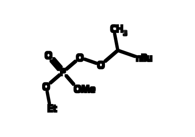 CCCCC(C)OOP(=O)(OC)OCC